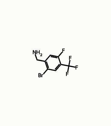 NCc1cc(F)c(C(F)(F)F)cc1Br